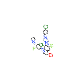 O=c1ccn(-c2ccc(CN3CCCC3)c(F)c2)c2c(Cl)c(N3CCN(c4ccc(Cl)cc4)CC3)c(F)cc12